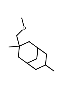 COCC1(C)CC2CC(C)CC(C2)C1